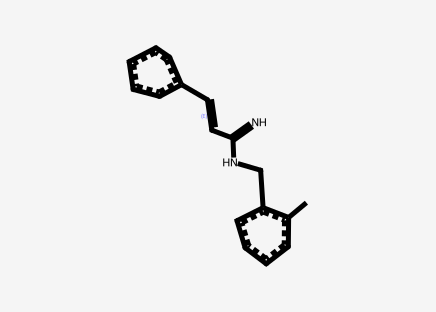 Cc1ccccc1CNC(=N)/C=C/c1ccccc1